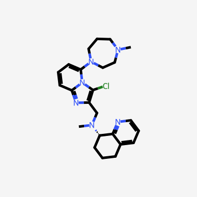 CN1CCCN(c2cccc3nc(CN(C)[C@H]4CCCc5cccnc54)c(Cl)n23)CC1